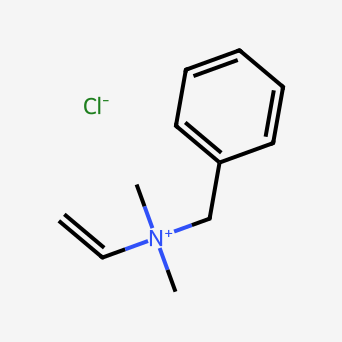 C=C[N+](C)(C)Cc1ccccc1.[Cl-]